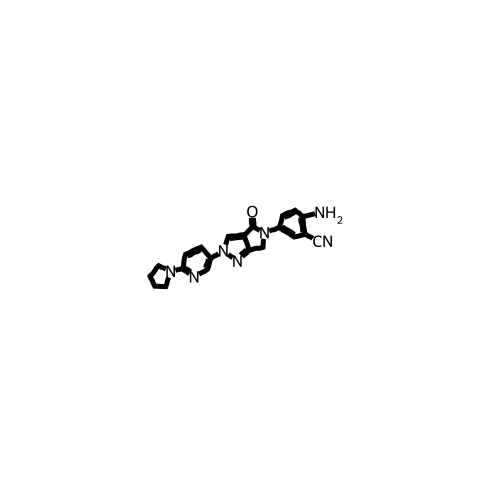 N#Cc1cc(N2Cc3nn(-c4ccc(N5CCCC5)nc4)cc3C2=O)ccc1N